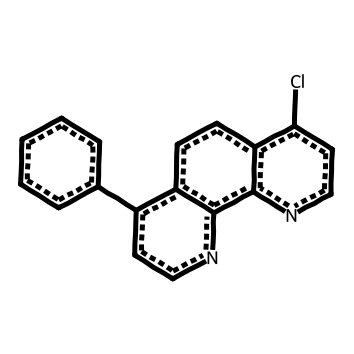 Clc1ccnc2c1ccc1c(-c3ccccc3)ccnc12